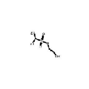 [O]=[V](=[O])([O]CCO)[CH](Cl)Cl